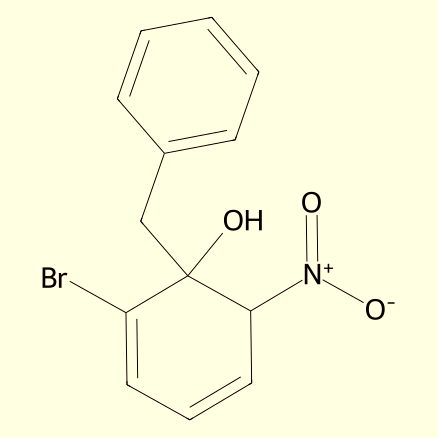 O=[N+]([O-])C1C=CC=C(Br)C1(O)Cc1ccccc1